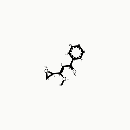 CO/C(=C\C(=O)c1ccccc1)C1CO1